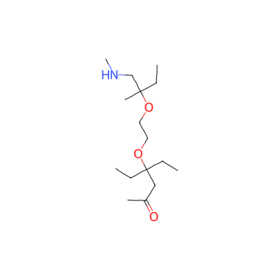 CCC(C)(CNC)OCCOC(CC)(CC)CC(C)=O